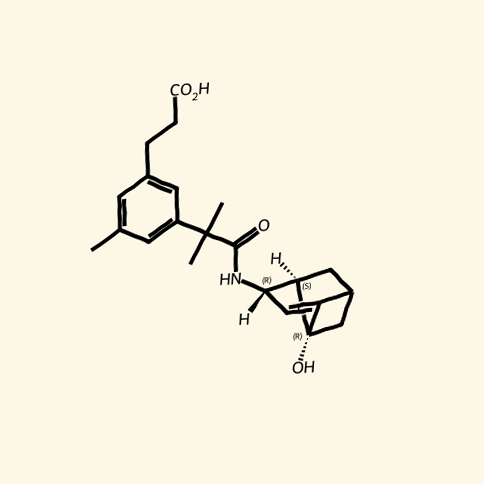 Cc1cc(CCC(=O)O)cc(C(C)(C)C(=O)N[C@H]2C=C3C4C[C@H]2C[C@]3(O)C4)c1